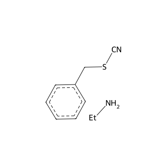 CCN.N#CSCc1ccccc1